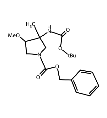 COC1CN(C(=O)OCc2ccccc2)CC1(C)NC(=O)OC(C)(C)C